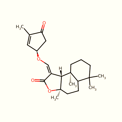 CC1=C[C@H](O/C=C2\C(=O)O[C@]3(C)CCC4C(C)(C)CCC[C@]4(C)[C@@H]23)CC1=O